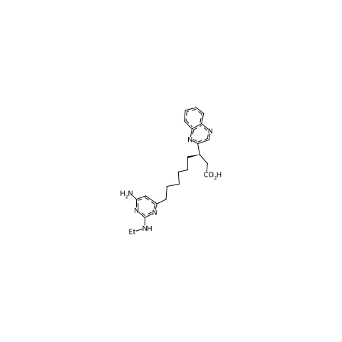 CCNc1nc(N)cc(CCCCCC[C@H](CC(=O)O)c2cnc3ccccc3n2)n1